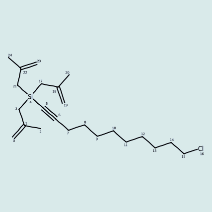 C=C(C)C[Si](C#CCCCCCCCCCCl)(CC(=C)C)CC(=C)C